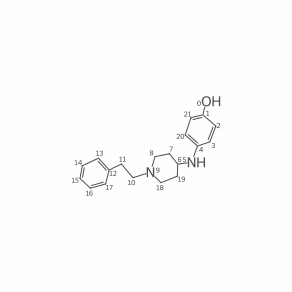 Oc1ccc(NC2CCN(CCc3ccccc3)CC2)cc1